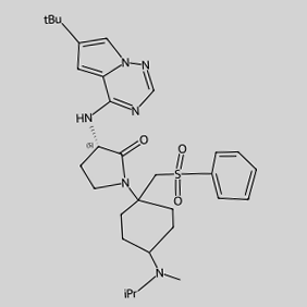 CC(C)N(C)C1CCC(CS(=O)(=O)c2ccccc2)(N2CC[C@H](Nc3ncnn4cc(C(C)(C)C)cc34)C2=O)CC1